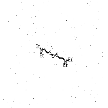 CCN(CC)CCSOSCCN(CC)CC